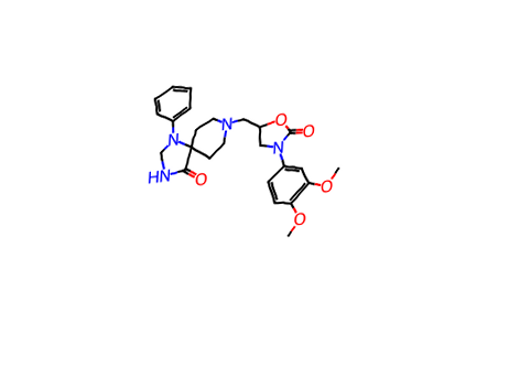 COc1ccc(N2CC(CN3CCC4(CC3)C(=O)NCN4c3ccccc3)OC2=O)cc1OC